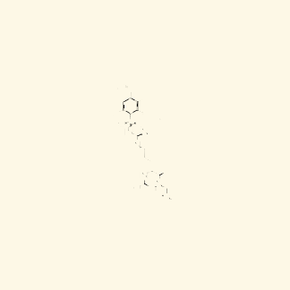 COCNC(=O)[C@@H](CCCNC(=N)NS(=O)(=O)c1c(C)cc(OC)c(C)c1C)NC(=O)O